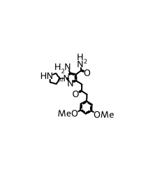 COc1cc(CC(=O)Cc2nn([C@H]3CCNC3)c(N)c2C(N)=O)cc(OC)c1